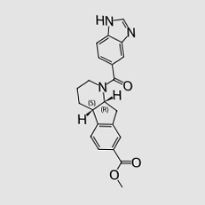 COC(=O)c1ccc2c(c1)C[C@@H]1[C@H]2CCCN1C(=O)c1ccc2[nH]cnc2c1